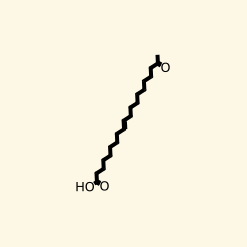 CC(=O)CCCCCCCCC=CCCCCCCCC(=O)O